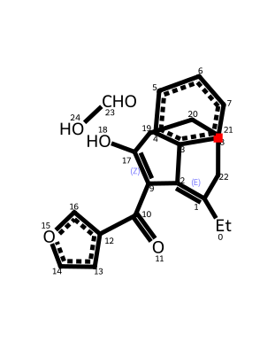 CC/C1=C(c2ccccc2)\C(C(=O)c2ccoc2)=C(\O)CCCC1.O=CO